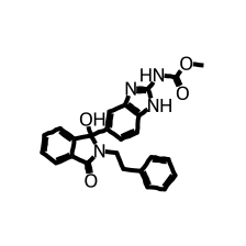 COC(=O)Nc1nc2cc(C3(O)c4ccccc4C(=O)N3CCc3ccccc3)ccc2[nH]1